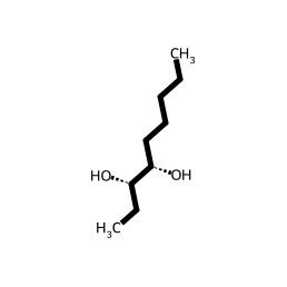 CCCCC[C@H](O)[C@@H](O)CC